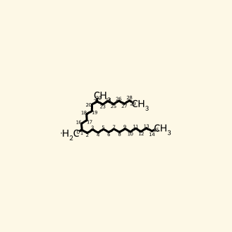 [CH2]C(CCCCCCCCCCCCCC)CCCCCC(C)CCCCCCC